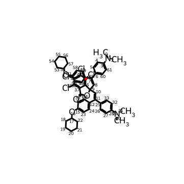 CN(C)c1ccc(C(=CC2(C=C(c3ccc(OC4CCCCC4)cc3)c3ccc(N(C)C)cc3)OC(=O)c3c(Cl)c(Cl)c(Cl)c(Cl)c32)c2ccc(OC3CCCCC3)cc2)cc1